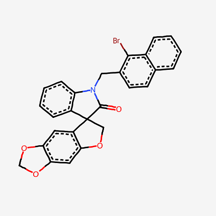 O=C1N(Cc2ccc3ccccc3c2Br)c2ccccc2C12COc1cc3c(cc12)OCO3